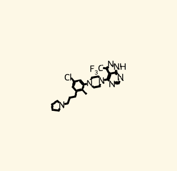 Cc1c(CCCN2CCCC2)cc(Cl)cc1N1CCN(c2ncnc3[nH]nc(C(F)(F)F)c23)CC1